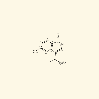 CNC(C)c1c[nH]c(=O)c2ccc(Cl)cc12